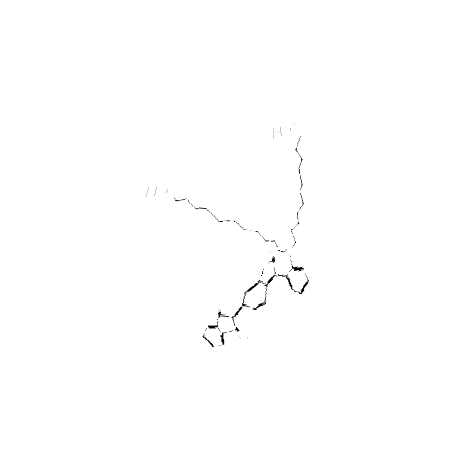 CCCCCCCCCCCCN(CCCCCCCCCCCC)c1ccccc1C1=c2ccc(=C3C(=O)c4ccccc4C3=O)cc2OC1=O